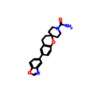 NC(=O)N1CCC2(CCc3cc(-c4ccc5ocnc5c4)ccc3O2)CC1